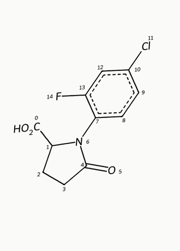 O=C(O)C1CCC(=O)N1c1ccc(Cl)cc1F